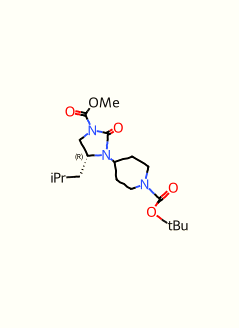 COC(=O)N1C[C@@H](CC(C)C)N(C2CCN(C(=O)OC(C)(C)C)CC2)C1=O